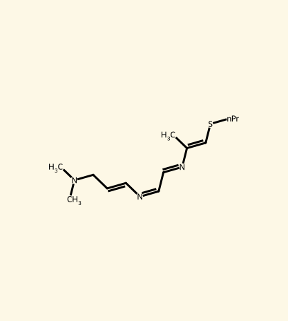 CCCS/C=C(C)/N=C/C=N\C=CCN(C)C